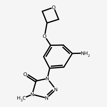 Cn1nnn(-c2cc(N)cc(OC3COC3)c2)c1=O